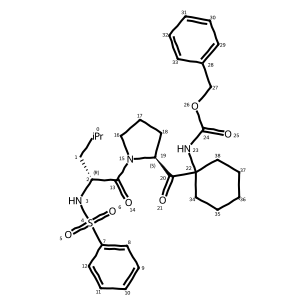 CC(C)C[C@@H](NS(=O)(=O)c1ccccc1)C(=O)N1CCC[C@H]1C(=O)C1(NC(=O)OCc2ccccc2)CC[CH]CC1